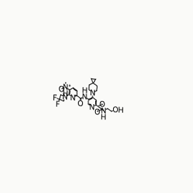 C[NH+]([O-])c1ccc(C(=O)Nc2cnc(S(=O)(=O)NCCO)cc2N2CCC3(CC2)CC3)nc1N1CC(F)(F)C1